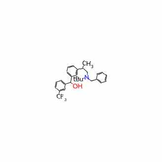 CC(CN(Cc1ccccc1)C(C)(C)C)c1cccc(C(O)c2cccc(C(F)(F)F)c2)c1